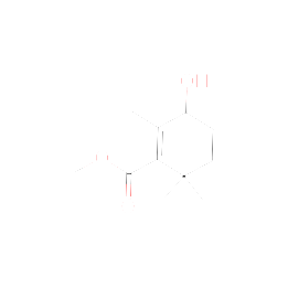 COC(=O)C1=C(C)C(O)CCC1(C)C